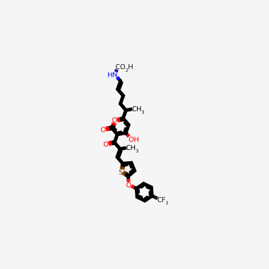 C/C(=C\c1ccc(Oc2ccc(C(F)(F)F)cc2)s1)C(=O)c1c(O)cc(C(C)CC/C=C/NC(=O)O)oc1=O